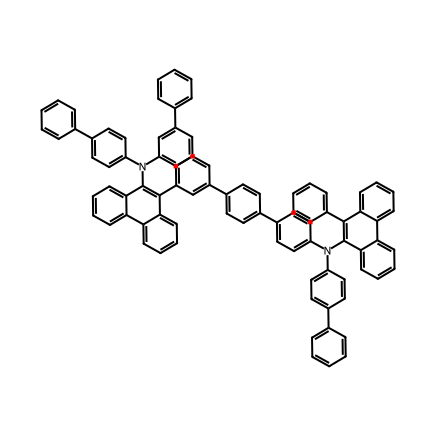 c1ccc(-c2ccc(N(c3ccc(-c4ccc(-c5cccc(-c6c(N(c7ccc(-c8ccccc8)cc7)c7cccc(-c8ccccc8)c7)c7ccccc7c7ccccc67)c5)cc4)cc3)c3c(-c4ccccc4)c4ccccc4c4ccccc34)cc2)cc1